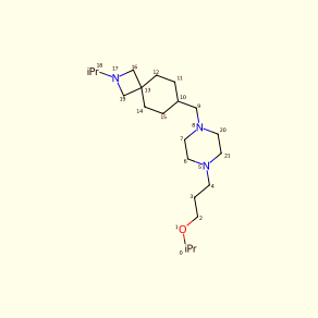 CC(C)OCCCN1CCN(CC2CCC3(CC2)CN(C(C)C)C3)CC1